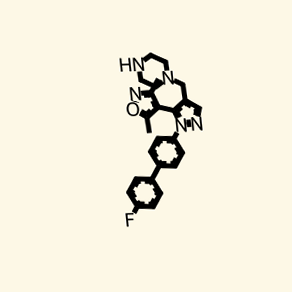 Cc1noc(C)c1-c1c(CN2CCNCC2)cnn1-c1ccc(-c2ccc(F)cc2)cc1